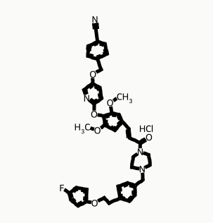 COc1cc(C=CC(=O)N2CCN(Cc3ccc(CCOc4ccc(F)cc4)cc3)CC2)cc(OC)c1Oc1ccc(OCc2ccc(C#N)cc2)cn1.Cl